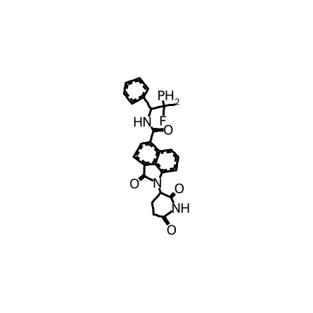 CC(F)(P)C(NC(=O)c1ccc2c3c(cccc13)N(C1CCC(=O)NC1=O)C2=O)c1ccccc1